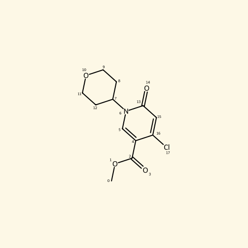 COC(=O)c1cn(C2CCOCC2)c(=O)cc1Cl